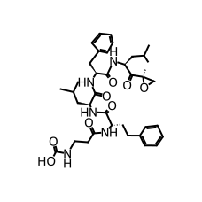 CC(C)C[C@H](NC(=O)[C@H](CCc1ccccc1)NC(=O)CCNC(=O)O)C(=O)N[C@@H](Cc1ccccc1)C(=O)N[C@@H](CC(C)C)C(=O)[C@@]1(C)CO1